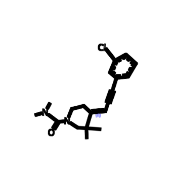 CN(C)C(=O)N1CC/C(=C\C#Cc2cccc(Cl)c2)C(C)(C)C1